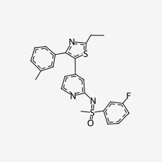 CCc1nc(-c2cccc(C)c2)c(-c2ccnc(N=S(C)(=O)c3cccc(F)c3)c2)s1